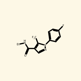 CCNC(=O)c1cnn(-c2ccc(F)cc2)c1C(F)(F)F